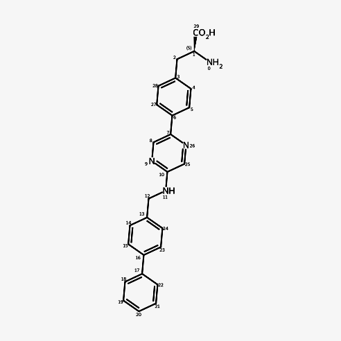 N[C@@H](Cc1ccc(-c2cnc(NCc3ccc(-c4ccccc4)cc3)cn2)cc1)C(=O)O